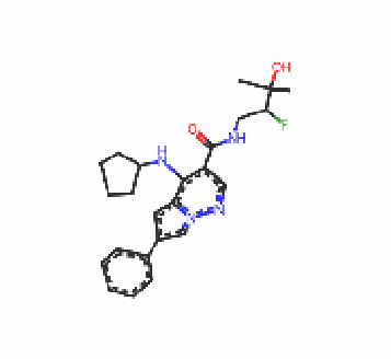 CC(C)(O)C(F)CNC(=O)c1cnn2cc(-c3ccccc3)cc2c1NC1CCCC1